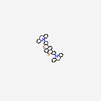 C1=CC2CCc3ccccc3N(C3=CC4=C(CC3)c3ccc5c6c(ccc(c36)S4)Sc3cc(N4c6ccccc6CCc6ccccc64)ccc3-5)C2C=C1